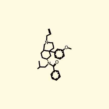 C=CCN1CCC2(c3cccc(OC)c3)C[C@H](N(CC(C)C)C(=O)c3ccccc3)CCC2C1